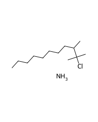 CCCCCCCCC(C)C(C)(C)Cl.N